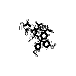 COC[C@]1(COC(c2ccccc2)(c2ccc(OC)cc2)c2ccc(OC)cc2)O[C@@H](n2cc(C)c(=O)[nH]c2=O)C[C@@H]1O[PH](O)(CCC#N)N(C(C)C)C(C)C